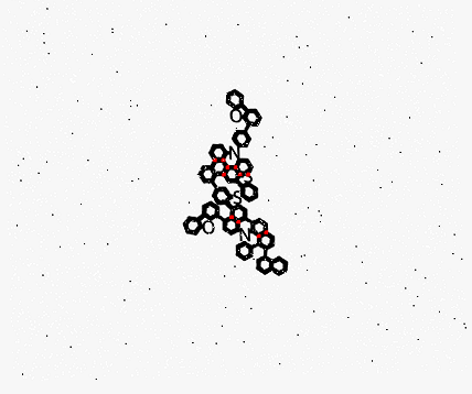 c1ccc(-c2cccc3ccccc23)c(-c2ccccc2N(c2ccc(-c3cccc4c3oc3ccccc34)cc2)c2ccccc2-c2ccc3c(c2)sc2cc(-c4cccc5ccc(-c6ccccc6N(c6ccc(-c7cccc8c7oc7ccccc78)cc6)c6ccccc6-c6ccc7c(c6)sc6ccccc67)cc45)ccc23)c1